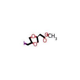 COC(=O)C[C@H]1COC(CI)CO1